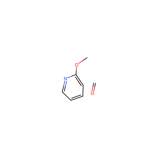 C=O.COc1ccccn1